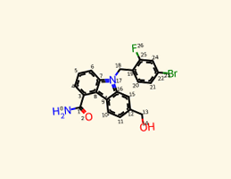 NC(=O)c1cccc2c1c1[c]cc(CO)cc1n2Cc1ccc(Br)cc1F